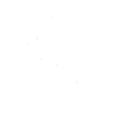 CCC(=O)CCC(=O)NC1CC(C(F)(F)F)CN(c2ccc(C#N)c3ncccc23)C1